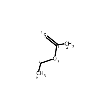 CCOC(C)=S